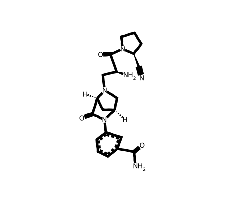 N#C[C@@H]1CCCN1C(=O)[C@@H](N)CN1C[C@@H]2C[C@H]1C(=O)N2c1cccc(C(N)=O)c1